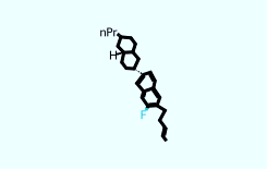 C/C=C/CCc1cc2ccc([C@@H]3CC[C@@H]4CC(CCC)CCC4C3)cc2cc1F